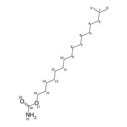 CC(C)CCCCCCCCCCCCCCOC(N)=O